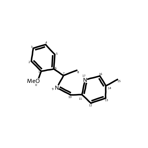 COc1ccccc1C(C)/N=C\c1ccc(C)cn1